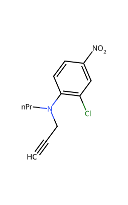 C#CCN(CCC)c1ccc([N+](=O)[O-])cc1Cl